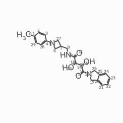 Cc1ccc(N2CC(CNC(=O)[C@H](O)[C@@H](O)C(=O)N3Cc4ccccc4C3)C2)cc1